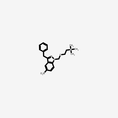 C[Si](C)(C)CCOCn1nc(Cc2ccccc2)c2cc([N+](=O)[O-])ccc21